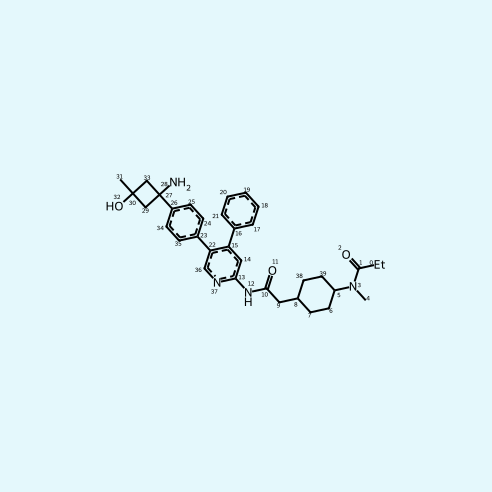 CCC(=O)N(C)C1CCC(CC(=O)Nc2cc(-c3ccccc3)c(-c3ccc(C4(N)CC(C)(O)C4)cc3)cn2)CC1